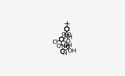 CC(C)(C)c1ccc(S(=O)(=O)Nc2ccc(Cl)c(C(=O)Nc3cccnc3C(=O)O)c2C(=O)O)cc1